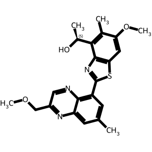 COCc1cnc2c(-c3nc4c([C@H](C)O)c(C)c(OC)cc4s3)cc(C)cc2n1